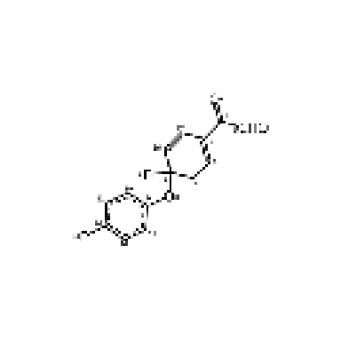 O=CC(=O)C1=CCC(F)(Oc2ccc(F)cc2)C=C1